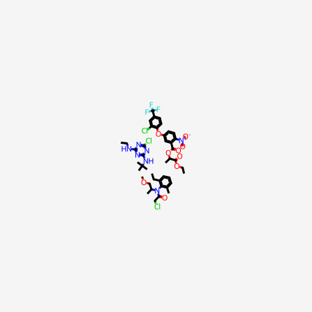 CCNc1nc(Cl)nc(NC(C)(C)C)n1.CCOC(=O)C(C)OC(=O)c1cc(Oc2ccc(C(F)(F)F)cc2Cl)ccc1[N+](=O)[O-].CCc1cccc(C)c1N(C(=O)CCl)C(C)COC